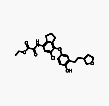 CCOC(=O)C(=O)Nc1cc(Cl)c(Oc2ccc(O)c(CCC3CCOC3)c2)c2c1CCC2